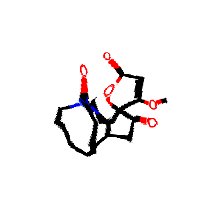 COC1=CC(=O)OC12C(=O)CC1CCCCN3C(=O)CCC132